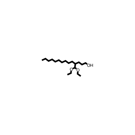 CCCCCCCCCCC(CCCO)C(OCC)OCC